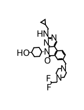 O=c1c2cc(CN3CCN(CC(F)F)CC3)ccc2c2cnc(NCC3CC3)nc2n1[C@H]1CC[C@H](O)CC1